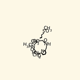 C/C=C1\NC(=O)c2cccc(n2)CCNC(=O)C[C@@H](/C=C/CCSC(C)=O)OC(=O)[C@H](C(C)C)NC1=O